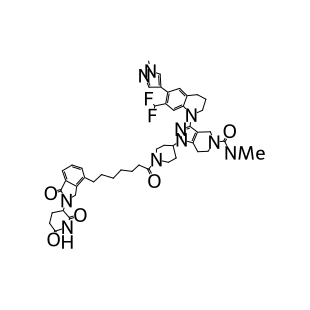 CNC(=O)N1CCc2c(c(N3CCCc4cc(-c5cnn(C)c5)c(C(F)F)cc43)nn2C2CCN(C(=O)CCCCCCc3cccc4c3CN(C3CCC(=O)NC3=O)C4=O)CC2)C1